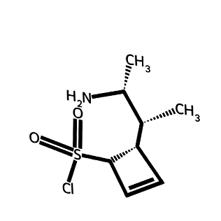 C[C@H]([C@@H]1C=CC1S(=O)(=O)Cl)[C@@H](C)N